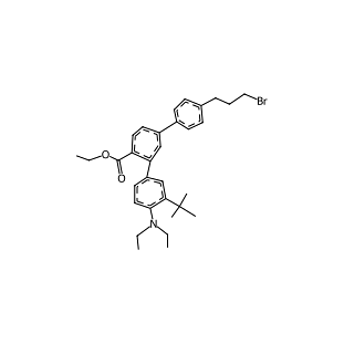 CCOC(=O)c1ccc(-c2ccc(CCCBr)cc2)cc1-c1ccc(N(CC)CC)c(C(C)(C)C)c1